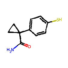 NC(=O)C1(c2ccc(S)cc2)CC1